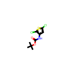 CC(C)(C)OC(=O)Nc1cc(Cl)sc1Cl